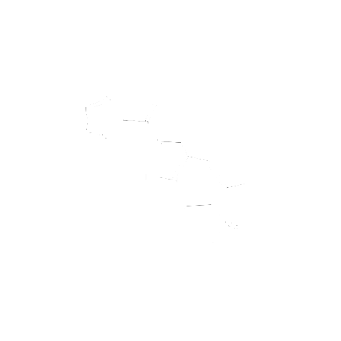 CCC(C(C)=CC(CNC(=O)c1nc[nH]n1)=NO)[N+](=O)[O-]